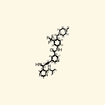 CC(C)Nc1ncncc1C(=N)C#Cc1cncc(C(=O)Nc2ccc(CN3CCN(C)CC3)c(C(F)(F)F)c2)c1